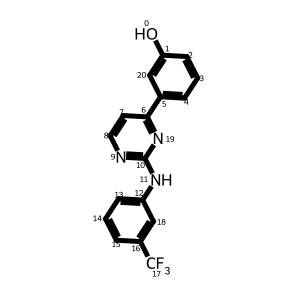 Oc1cccc(-c2ccnc(Nc3cccc(C(F)(F)F)c3)n2)c1